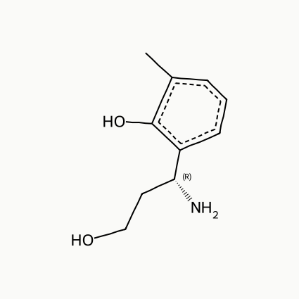 Cc1cccc([C@H](N)CCO)c1O